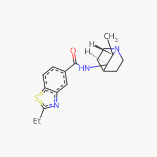 CCc1nc2cc(C(=O)N[C@@H]3C4CCN(CC4)[C@H]3C)ccc2s1